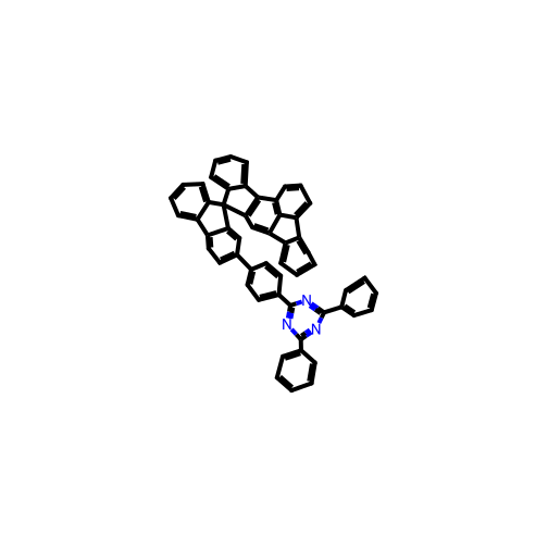 c1ccc(-c2nc(-c3ccccc3)nc(-c3ccc(-c4ccc5c(c4)C4(c6ccccc6-5)c5ccccc5-c5c4cc4c6c(cccc56)-c5ccccc5-4)cc3)n2)cc1